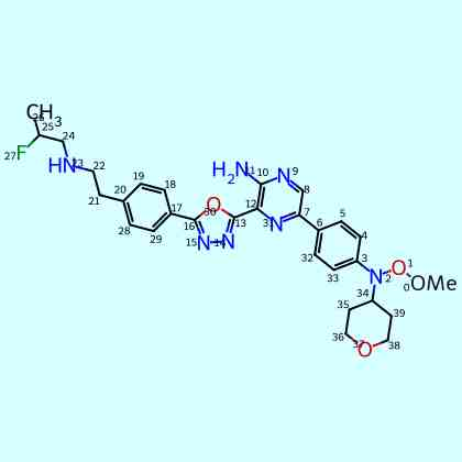 COON(c1ccc(-c2cnc(N)c(-c3nnc(-c4ccc(CCNCC(C)F)cc4)o3)n2)cc1)C1CCOCC1